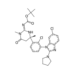 CN1C(=O)C[C@@](C)(c2cccc(-n3c(N4CCCC4)nc4ccc(Cl)cc43)c2Cl)N/C1=N\C(=O)OC(C)(C)C